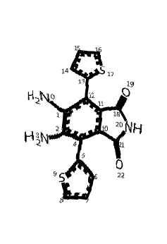 Nc1c(N)c(-c2cccs2)c2c(c1-c1cccs1)C(=O)NC2=O